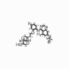 Cc1cc(N=S(C)(C)=O)cc2ncnc(Nc3ccc(F)cc3OCC[C@@H]3CO[C@H]4[C@@H]3OC[C@H]4O)c12